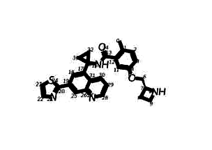 Cc1ccc(OC[C@@H]2CCN2)cc1C(=O)NC1(c2cc(-c3nccs3)cc3ncccc23)CC1